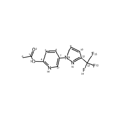 CC(=O)Oc1ccc(-n2ccc(C(F)(F)F)n2)cn1